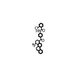 CN(C)C1CCC(C(=O)c2ccc(NC(=O)c3ccccc3Cl)cc2)=c2ccc3c(c21)CC=c1ccccc1=3